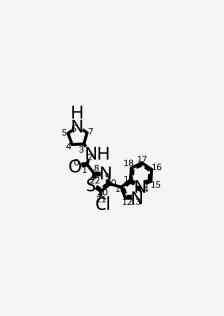 O=C(NC1CCNC1)c1nc(-c2cnn3ccccc23)c(Cl)s1